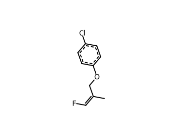 C/C(=C/F)COc1ccc(Cl)cc1